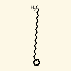 CCCCCCCCCCCCCCCCCCCc1[c]cccc1